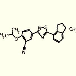 CC(C)Oc1ccc(-c2nsc(-c3cccc4c3CC[C@@H]4C)n2)cc1C#N